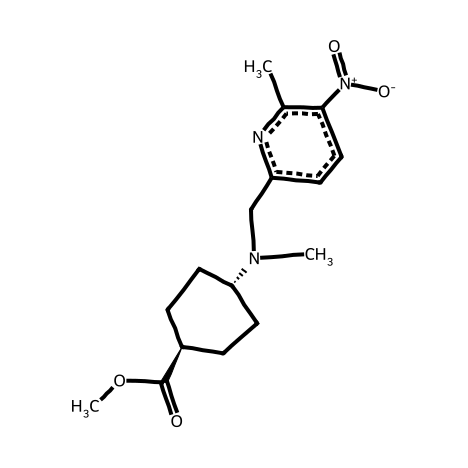 COC(=O)[C@H]1CC[C@H](N(C)Cc2ccc([N+](=O)[O-])c(C)n2)CC1